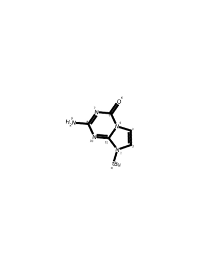 CC(C)(C)n1ccn2c(=O)nc(N)nc12